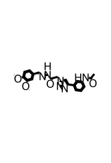 COc1ccc(C=NNC(=O)Cn2cc(-c3cccc(NC(C)=O)c3)nn2)cc1OC